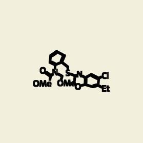 CCc1cc2c(cc1Cl)N=C(SCc1ccccc1N(COC)C(=O)OC)CO2